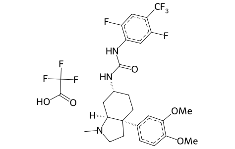 COc1ccc([C@@]23CC[C@@H](NC(=O)Nc4cc(F)c(C(F)(F)F)cc4F)C[C@@H]2N(C)CC3)cc1OC.O=C(O)C(F)(F)F